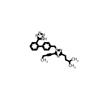 CCC#Cc1nc(CCC(C)C)nn1Cc1ccc(-c2ccccc2-c2nnn[nH]2)cc1